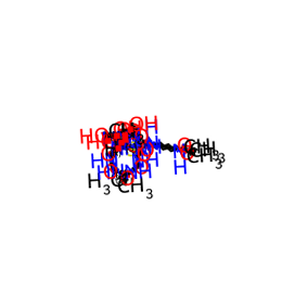 CC[C@H](C)[C@@H]1NC(=O)CNC(=O)[C@H]2Cc3c([nH]c4cc(O)ccc34)[S@+]([O-])CC(NC(=O)CNC1=O)C(=O)N[C@@H](CC(=O)NCCCCCCNC(=O)OC(C)(C)C)C(=O)N1CC(O)C[C@H]1C(=O)N[C@@H]([C@@H](C)[C@@H](O)CO)C(=O)N2